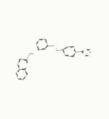 c1cc(NCc2ccc(-c3nnn[nH]3)cc2)cc(OCc2ccc3ccccc3n2)c1